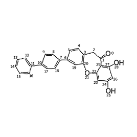 O=C1Cc2ccc(-c3ccc(-c4ccccc4)cc3)cc2Oc2cc(O)cc(O)c21